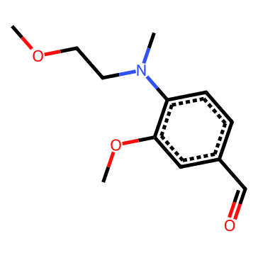 COCCN(C)c1ccc(C=O)cc1OC